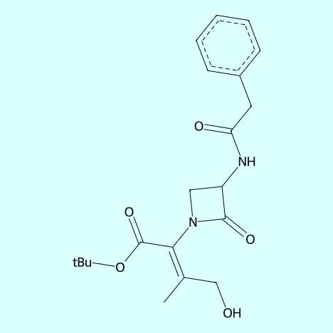 C/C(CO)=C(\C(=O)OC(C)(C)C)N1CC(NC(=O)Cc2ccccc2)C1=O